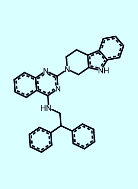 c1ccc(C(CNc2nc(N3CCc4c([nH]c5ccccc45)C3)nc3ccccc23)c2ccccc2)cc1